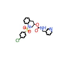 O=C(NCc1cccnc1)OC1Cc2ccccc2N(S(=O)(=O)c2ccc(Cl)cc2)C1